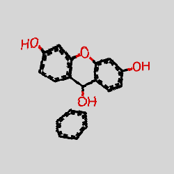 Oc1ccc2c(c1)Oc1cc(O)ccc1C2O.c1ccccc1